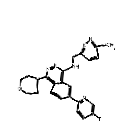 Cc1ccc(CNc2nnc(C3CCOCC3)c3ccc(-c4ccc(F)cn4)cc23)nn1